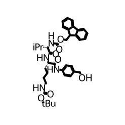 CC(C)[C@H](NC(=O)OCC1c2ccccc2-c2ccccc21)C(=O)N[C@@H](CCCCNC(=O)OC(C)(C)C)C(=O)Nc1ccc(CO)cc1